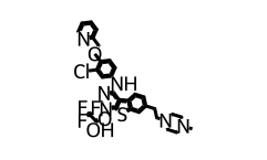 CN1CCN(CCc2ccc3c(c2)sc2ncnc(Nc4ccc(OCc5ccccn5)c(Cl)c4)c23)CC1.O=C(O)C(F)(F)F